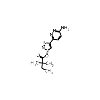 CCC(C)(C)C(=O)On1cc(-c2ccc(N)nn2)nn1